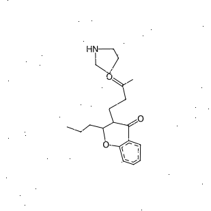 C1CCNC1.CCCC1Oc2ccccc2C(=O)C1CCC(C)=O